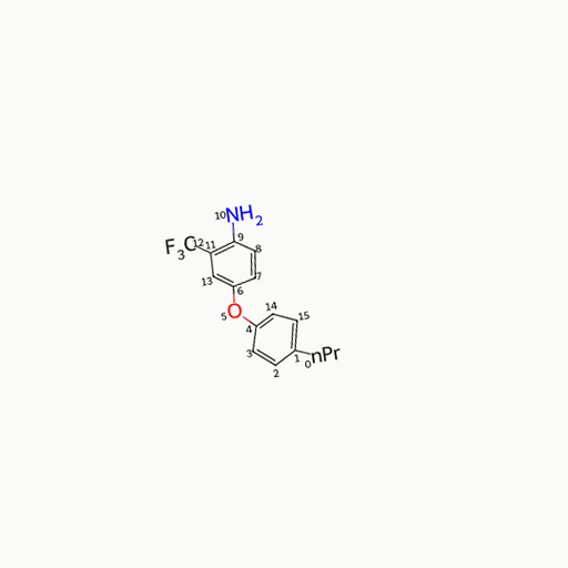 CCCc1ccc(Oc2ccc(N)c(C(F)(F)F)c2)cc1